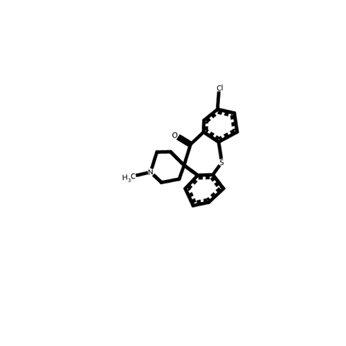 CN1CCC2(CC1)C(=O)c1cc(Cl)ccc1Sc1ccccc12